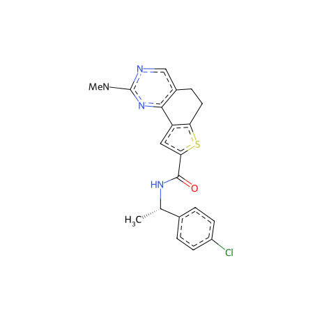 CNc1ncc2c(n1)-c1cc(C(=O)N[C@@H](C)c3ccc(Cl)cc3)sc1CC2